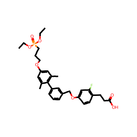 CCOP(=O)(CCCOc1cc(C)c(-c2cccc(COc3ccc(CCC(=O)O)c(F)c3)c2)c(C)c1)OCC